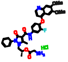 COc1cc2nccc(Oc3ccc(NC(=O)c4c(C)n(C[C@@H](C)OC(=O)CN)n(-c5ccccc5)c4=O)cc3F)c2cc1OC.Cl